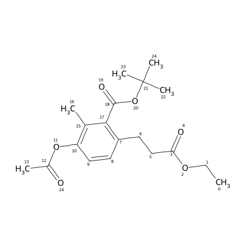 CCOC(=O)CCc1ccc(OC(C)=O)c(C)c1C(=O)OC(C)(C)C